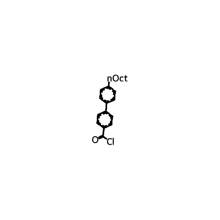 CCCCCCCCc1ccc(-c2ccc(C(=O)Cl)cc2)cc1